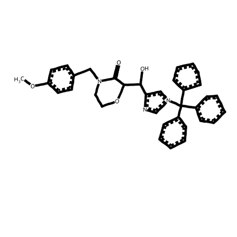 COc1ccc(CN2CCOC(C(O)c3cn(C(c4ccccc4)(c4ccccc4)c4ccccc4)cn3)C2=O)cc1